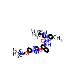 Cc1ccc(-n2nc([Si](C)(C)C)cc2NC(=O)Nc2ccc(Oc3ccnc(Nc4cccc(OCCN(C)C)c4)n3)c3ccccc23)cc1